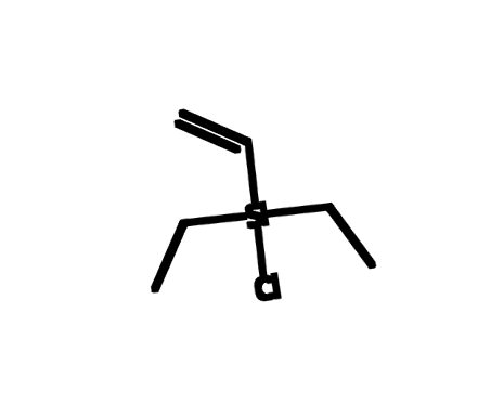 C=C[Si](Cl)(CC)CC